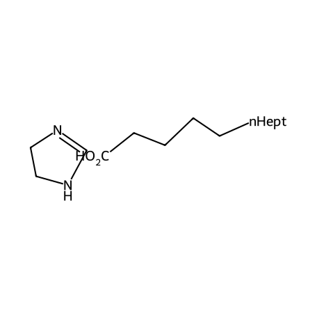 C1=NCCN1.CCCCCCCCCCCC(=O)O